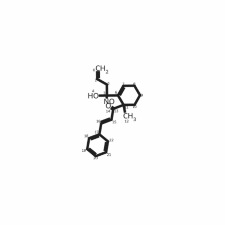 C=CCC(O)(N=O)C1=CCCCC1(C)C(=O)/C=C/c1ccccc1